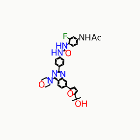 CC(=O)Nc1ccc(NC(=O)Nc2ccc(-c3nc(N4CCOCC4)c4ccc(-c5ccc(C(C)(C)O)o5)cc4n3)cc2)c(F)c1